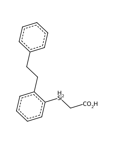 O=C(O)C[SiH2]c1ccccc1CCc1ccccc1